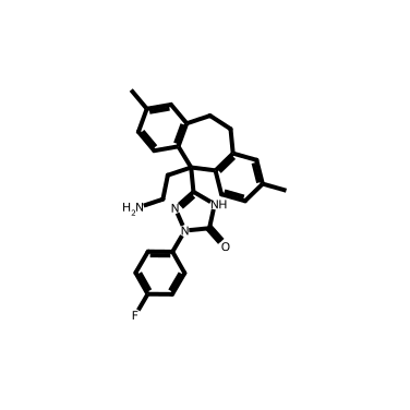 Cc1ccc2c(c1)CCc1cc(C)ccc1C2(CCN)c1nn(-c2ccc(F)cc2)c(=O)[nH]1